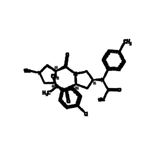 Cc1ccc(N(C(=O)C(C)(C)C)[C@H]2C[C@@H](C(=O)N(C)C)N(C(=O)[C@@H]3CN(C(C)(C)C)C[C@H]3c3ccc(Cl)cc3)C2)cc1